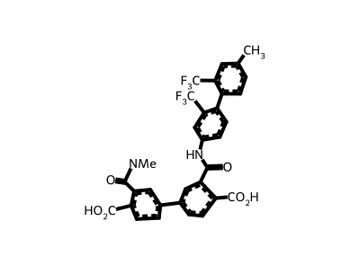 CNC(=O)c1cc(-c2ccc(C(=O)O)c(C(=O)Nc3ccc(-c4ccc(C)cc4C(F)(F)F)c(C(F)(F)F)c3)c2)ccc1C(=O)O